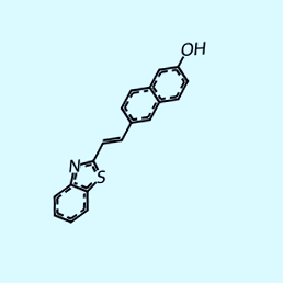 Oc1ccc2cc(C=Cc3nc4ccccc4s3)ccc2c1